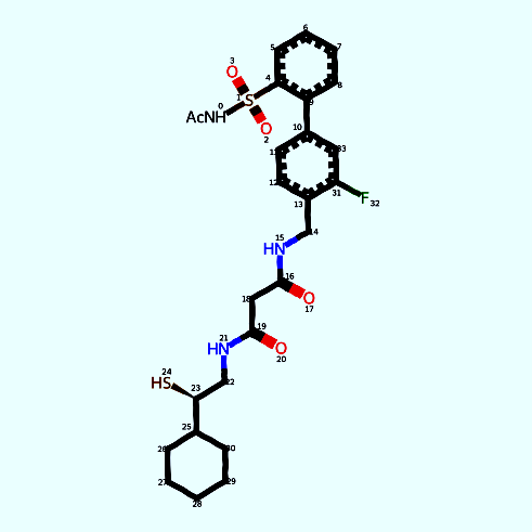 CC(=O)NS(=O)(=O)c1ccccc1-c1ccc(CNC(=O)CC(=O)NC[C@H](S)C2CCCCC2)c(F)c1